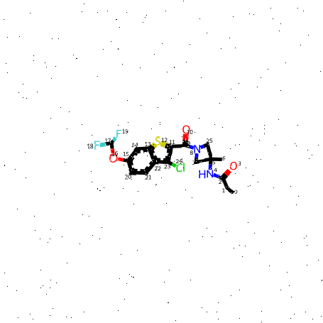 CCC(=O)NC1(C)CN(C(=O)c2sc3cc(OC(F)F)ccc3c2Cl)C1